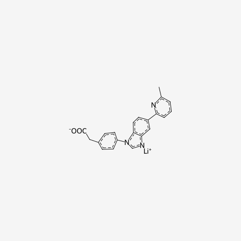 Cc1cccc(-c2ccc3c(c2)ncn3-c2ccc(CC(=O)[O-])cc2)n1.[Li+]